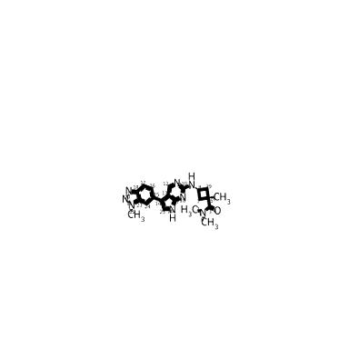 CN(C)C(=O)[C@]1(C)C[C@H](Nc2ncc3c(-c4ccc5nnn(C)c5c4)c[nH]c3n2)C1